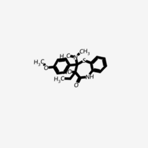 CCC1(O)C(=O)Nc2ccccc2SC1(c1ccc(OC)cc1)N(C)C